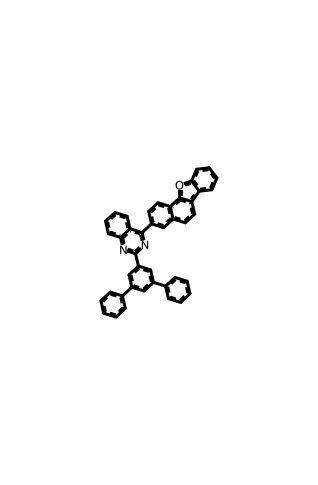 c1ccc(-c2cc(-c3ccccc3)cc(-c3nc(-c4ccc5c(ccc6c7ccccc7oc56)c4)c4ccccc4n3)c2)cc1